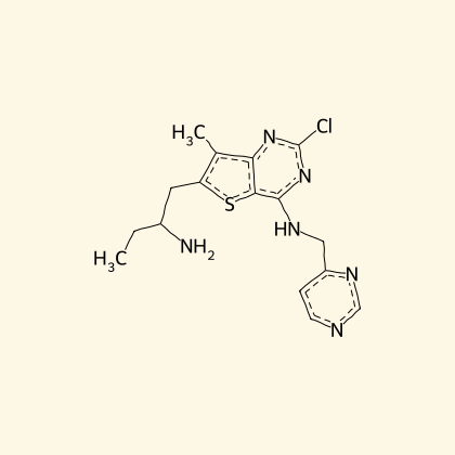 CCC(N)Cc1sc2c(NCc3ccncn3)nc(Cl)nc2c1C